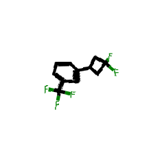 FC1(F)CC(c2cccc(C(F)(F)F)c2)C1